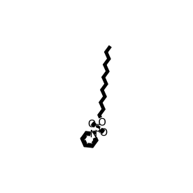 CCCCCCCCCCCCOS(=O)(=O)[n+]1ccccc1